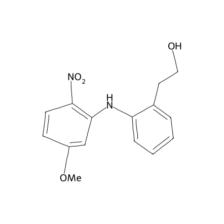 COc1ccc([N+](=O)[O-])c(Nc2ccccc2CCO)c1